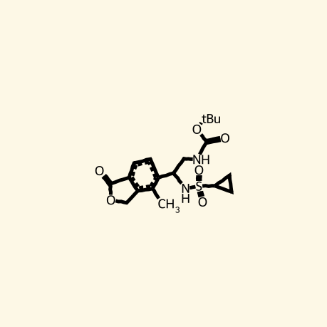 Cc1c(C(CNC(=O)OC(C)(C)C)NS(=O)(=O)C2CC2)ccc2c1COC2=O